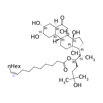 CCCCCC/C=C\CCCCCCCC(=O)O[C@H](CCC(C)(C)O)[C@@H](C)[C@H]1CC[C@@]2(O)C3=CC(=O)[C@@H]4C[C@@H](O)[C@@H](O)C[C@]4(C)[C@H]3CC[C@]12C